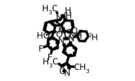 [2H]C1CCC(OC)(n2c([C@]34OC5(c6ccc(F)c(F)c6)C6=C(C=C[C@@H]5O)C[C@@H]5[C@H](C=C[C@@H]3O)[C@@]64CCN5C)nc3cc(-c4c(C)noc4C)ccc32)CC1